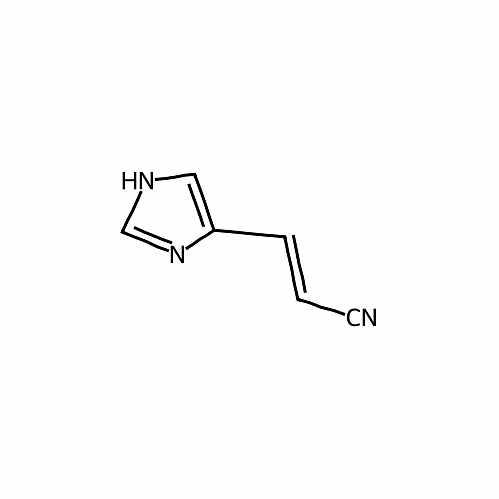 N#CC=Cc1c[nH]cn1